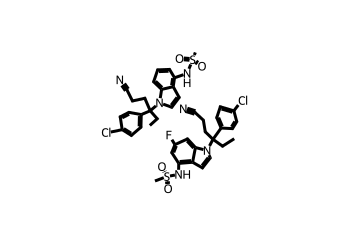 CCC(CCC#N)(c1ccc(Cl)cc1)n1ccc2c(NS(C)(=O)=O)cc(F)cc21.CCC(CCC#N)(c1ccc(Cl)cc1)n1ccc2c(NS(C)(=O)=O)cccc21